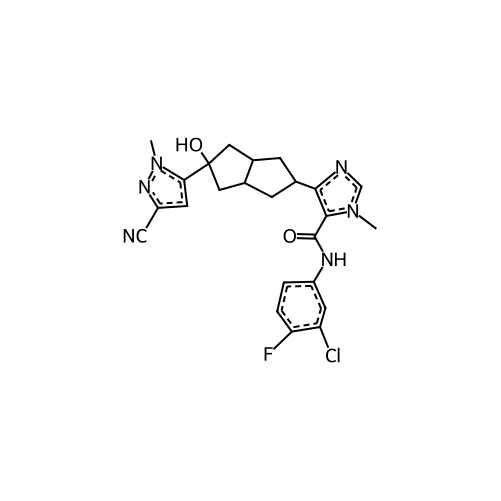 Cn1cnc(C2CC3CC(O)(c4cc(C#N)nn4C)CC3C2)c1C(=O)Nc1ccc(F)c(Cl)c1